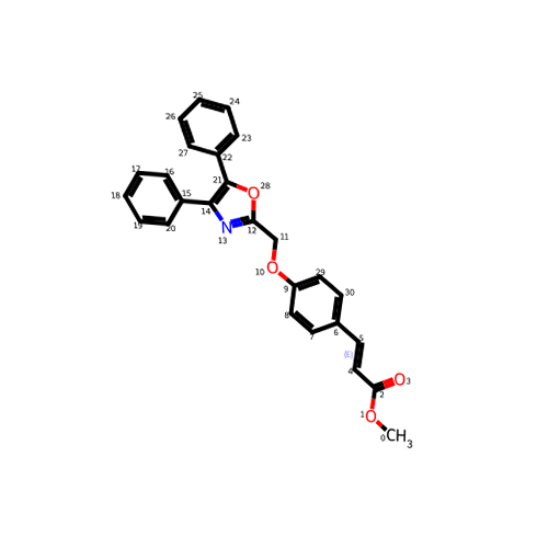 COC(=O)/C=C/c1ccc(OCc2nc(-c3ccccc3)c(-c3ccccc3)o2)cc1